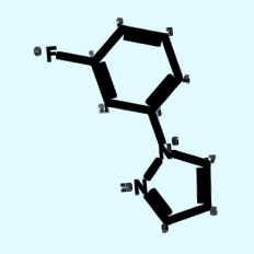 Fc1cccc(-n2[c]ccn2)c1